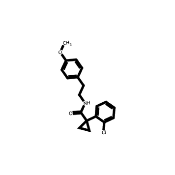 COc1ccc(CCNC(=O)C2(c3ccccc3Cl)CC2)cc1